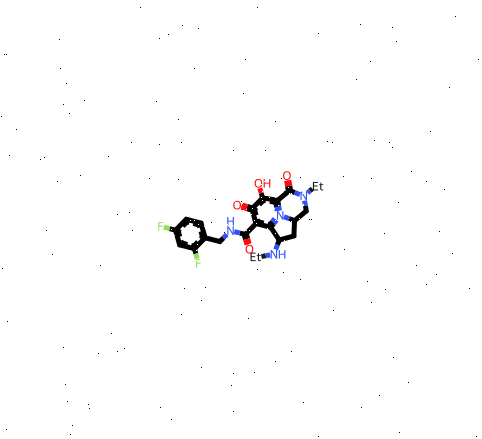 CCNC1CC2CN(CC)C(=O)c3c(O)c(=O)c(C(=O)NCc4ccc(F)cc4F)c1n32